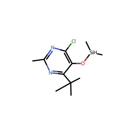 Cc1nc(Cl)c(O[SiH](C)C)c(C(C)(C)C)n1